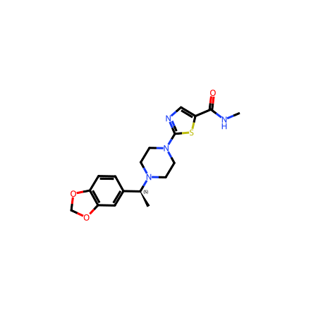 CNC(=O)c1cnc(N2CCN([C@@H](C)c3ccc4c(c3)OCO4)CC2)s1